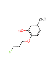 O=Cc1ccc(OCCCF)c(O)c1